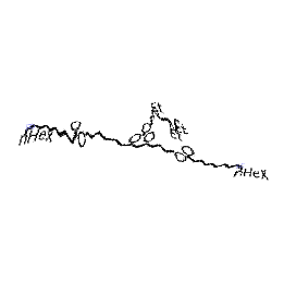 CCCCCC/C=C\CCCCCCCC(=O)OCCCCCCC(CCCCCCOC(=O)CCCCCCC/C=C\CCCCCC)OC(=O)OCCN(CC)CCN(CC)CC